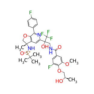 COc1cc(C(=O)NCC(O)(c2cc3c(c(-c4ccc(F)cc4)n2)OC[C@@]3(C)N[S+]([O-])C(C)(C)C)C(F)(F)F)cc(F)c1OC[C@@H](C)O